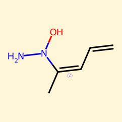 C=C/C=C(/C)N(N)O